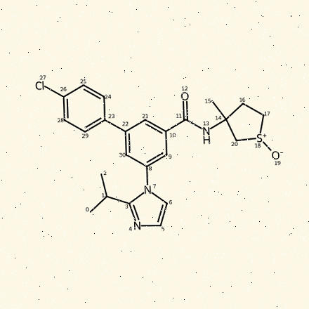 CC(C)c1nccn1-c1cc(C(=O)NC2(C)CC[S+]([O-])C2)cc(-c2ccc(Cl)cc2)c1